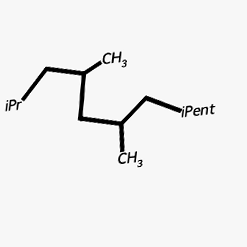 [CH2]C(C)CC(C)CC(C)CC(C)C[CH]C